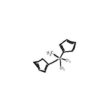 [CH3][Zr]([CH3])([CH3])([C]1=CC=CC1)[C]1=CC=CC1